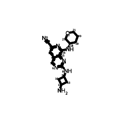 N#Cc1cc2cnc(NC3CC(N)C3)nc2c(N[C@@H]2CCCOC2)n1